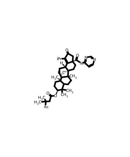 CC(=O)C(C)(C)CC(=O)O[C@H]1CC[C@@]2(C)C(CC[C@]3(C)C2CC[C@@H]2C4=C(C(C)C)C(=O)C[C@]4(C(=O)Nc4ccncn4)CC[C@]23C)C1(C)C